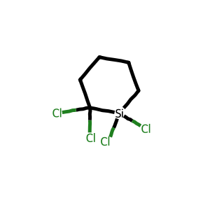 ClC1(Cl)CCCC[Si]1(Cl)Cl